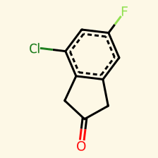 O=C1Cc2cc(F)cc(Cl)c2C1